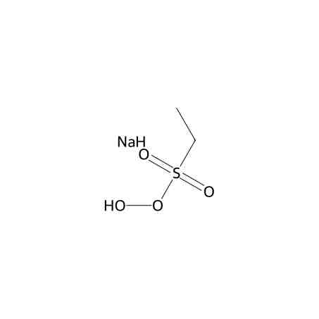 CCS(=O)(=O)OO.[NaH]